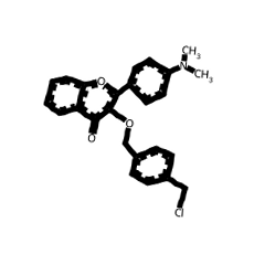 CN(C)c1ccc(-c2oc3ccccc3c(=O)c2OCc2ccc(CCl)cc2)cc1